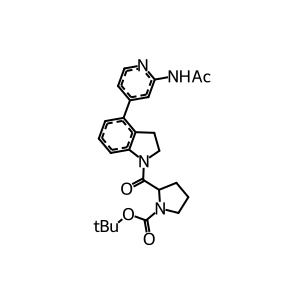 CC(=O)Nc1cc(-c2cccc3c2CCN3C(=O)C2CCCN2C(=O)OC(C)(C)C)ccn1